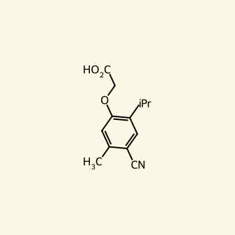 Cc1cc(OCC(=O)O)c(C(C)C)cc1C#N